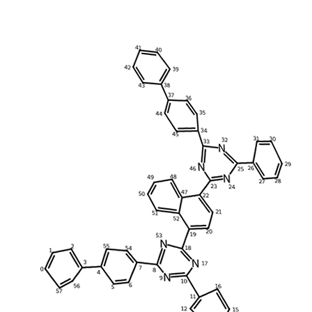 c1ccc(-c2ccc(-c3nc(-c4ccccc4)nc(-c4ccc(-c5nc(-c6ccccc6)nc(-c6ccc(-c7ccccc7)cc6)n5)c5ccccc45)n3)cc2)cc1